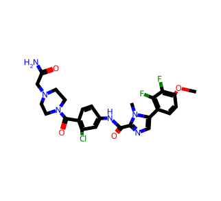 COc1ccc(-c2cnc(C(=O)Nc3ccc(C(=O)N4CCN(CC(N)=O)CC4)c(Cl)c3)n2C)c(F)c1F